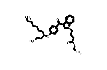 CCCCCCCC(CCC)Oc1ccc(C(=O)c2cn(CCCC(=O)OCC)c3ccccc23)cc1